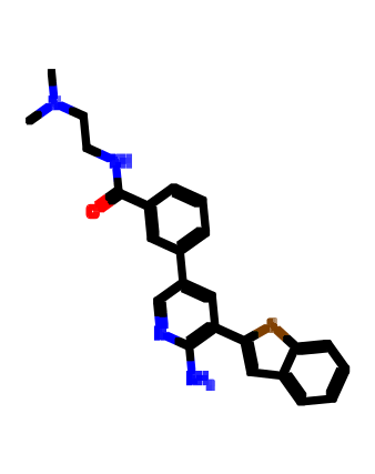 CN(C)CCNC(=O)c1cccc(-c2cnc(N)c(-c3cc4ccccc4s3)c2)c1